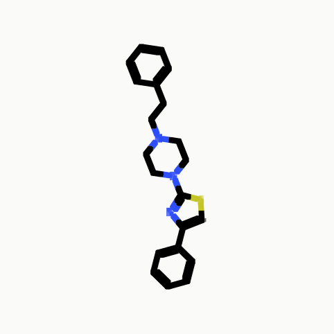 [c]1sc(N2CCN(CCc3ccccc3)CC2)nc1-c1ccccc1